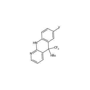 CCCCC1(C(F)(F)F)c2cc(F)ccc2Nc2ncccc21